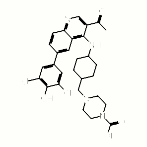 CC(=O)c1cnc2ccc(-c3cc(Cl)c(O)c(Cl)c3)cc2c1NC1CCC(CN2CCN(C(=O)O)CC2)CC1